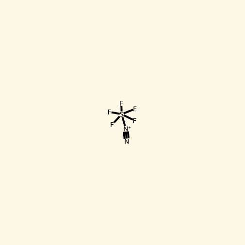 N#[N+]S(F)(F)(F)(F)F